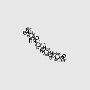 Cn1c(-c2ccc(NC(=O)c3ccc([N+](=O)[O-])cc3)cc2)nc2ccc(NC(=O)c3ccc([N+](=O)[O-])cc3)cc21